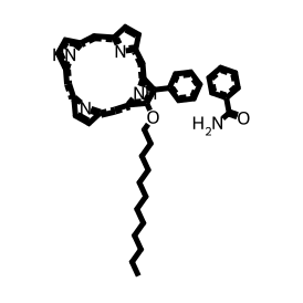 CCCCCCCCCCCCOc1c(-c2ccccc2)c2cc3nc(cc4ccc(cc5nc(cc1[nH]2)C=C5)[nH]4)C=C3.NC(=O)c1ccccc1